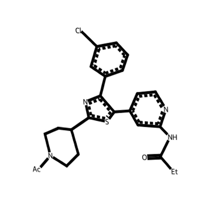 CCC(=O)Nc1cc(-c2sc(C3CCN(C(C)=O)CC3)nc2-c2cccc(Cl)c2)ccn1